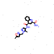 Cc1cc(Cn2ncc(NC(=O)c3cc(C(N)=O)nc4ccccc34)c2C)no1